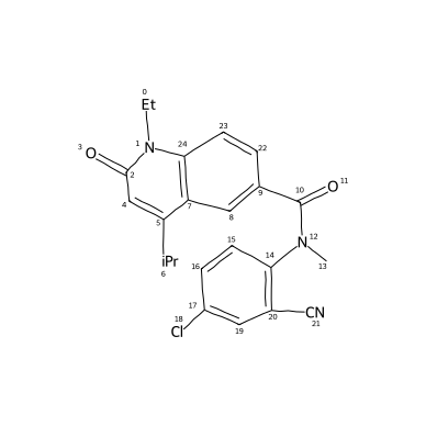 CCn1c(=O)cc(C(C)C)c2cc(C(=O)N(C)c3ccc(Cl)cc3C#N)ccc21